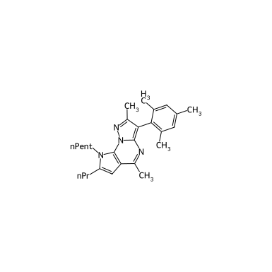 CCCCCn1c(CCC)cc2c(C)nc3c(-c4c(C)cc(C)cc4C)c(C)nn3c21